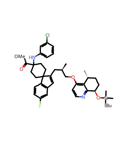 COC(=O)C1(Nc2cccc(Cl)c2)CCC2(CC1)C(C[C@@H](C)COc1ccnc3c1[C@H](C)CC[C@H]3O[Si](C)(C)C(C)(C)C)=Cc1cc(F)ccc12